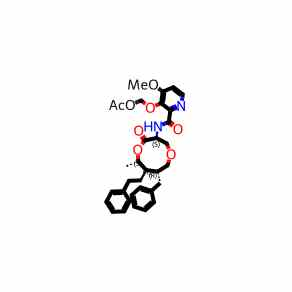 COc1ccnc(C(=O)N[C@H]2COC[C@H](Cc3ccccc3)[C@@H](CCc3ccccc3)[C@H](C)OC2=O)c1OCOC(C)=O